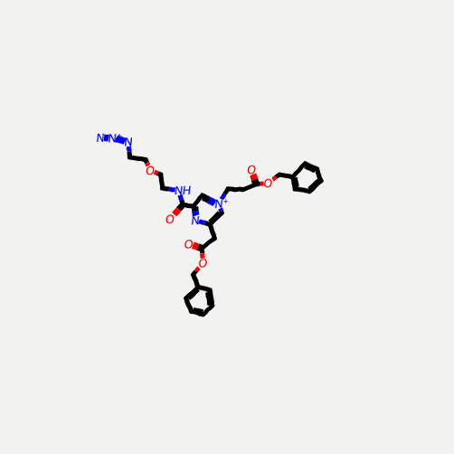 [N-]=[N+]=NCCOCCNC(=O)c1c[n+](CCC(=O)OCc2ccccc2)cc(CC(=O)OCc2ccccc2)n1